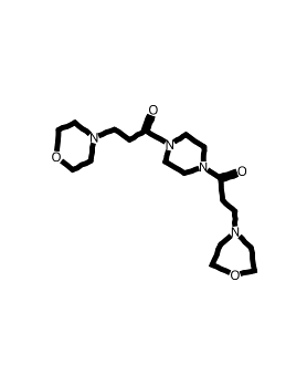 O=C(CCN1CCOCC1)N1CCN(C(=O)CCN2CCOCC2)CC1